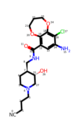 N#CCCCN1CC[C@@H](CNC(=O)c2cc(N)c(Cl)c3c2OCCCO3)[C@H](O)C1